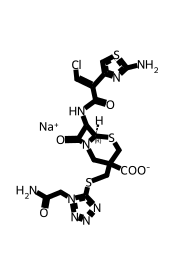 NC(=O)Cn1nnnc1SCC1(C(=O)[O-])CS[C@@H]2C(NC(=O)C(=CCl)c3csc(N)n3)C(=O)N2C1.[Na+]